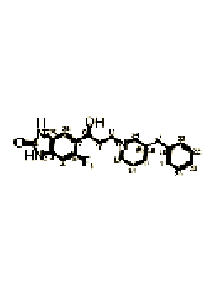 O=c1[nH]c2cc(F)c(C(O)CCN3CCC[C@H](Cc4ccccc4)C3)cc2[nH]1